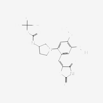 COc1cc(/C=C2/SC(=O)NC2=O)c(N2CCC(NC(=O)OC(C)(C)C)C2)cc1OC